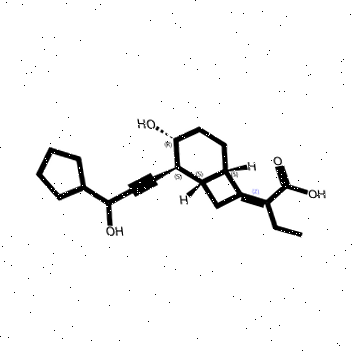 CC/C(C(=O)O)=C1\C[C@@H]2[C@@H](C#CC(O)C3CCCC3)[C@H](O)CC[C@H]12